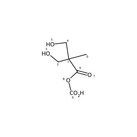 CC(CO)(CO)C(=O)OC(=O)O